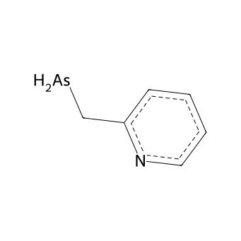 [AsH2]Cc1ccccn1